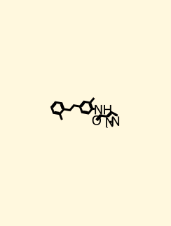 Cc1ccccc1CCc1ccc(NC(=O)c2ccnn2C)c(C)c1